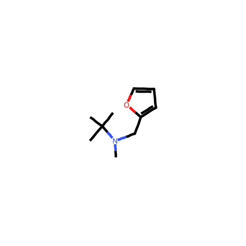 CN(Cc1ccco1)C(C)(C)C